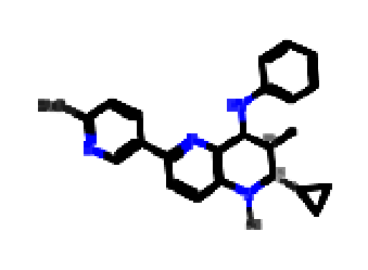 COc1ccc(-c2ccc3c(n2)C(Nc2ccccc2)[C@@H](C)[C@H](C2CC2)N3C(C)=O)cn1